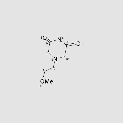 COCCN1CC(=O)[N]C(=O)C1